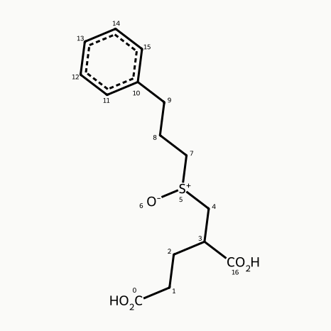 O=C(O)CCC(C[S+]([O-])CCCc1ccccc1)C(=O)O